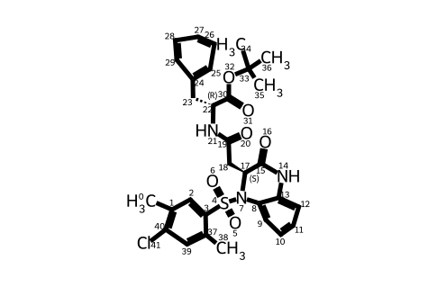 Cc1cc(S(=O)(=O)N2c3ccccc3NC(=O)[C@@H]2CC(=O)N[C@H](Cc2ccccc2)C(=O)OC(C)(C)C)c(C)cc1Cl